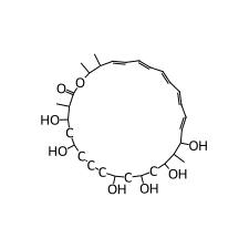 CC1/C=C/C=C/C=C/C=C/C=C/C(O)C(C)C(O)CC(O)CC(O)CCCC(O)CC(O)C(C)C(=O)OC1C